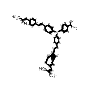 CCCC(S)c1ccc(N(c2ccc(/C=C/c3ccc(/C=C(\C#N)C(=O)O)cc3)cc2)c2ccc(/C=C/c3ccc(/C=C(\C#N)C(=O)O)cc3)cc2)cc1